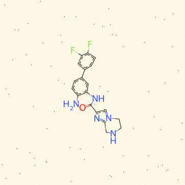 Nc1ccc(-c2ccc(F)c(F)c2)cc1NC(=O)c1cn2c(n1)CNCC2